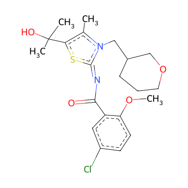 COc1ccc(Cl)cc1C(=O)N=c1sc(C(C)(C)O)c(C)n1CC1CCCOC1